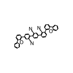 N#Cc1cc(-c2cccc(-c3cccc4c3oc3ccccc34)c2C#N)ccc1-c1ccc(-c2cccc3c2oc2ccccc23)cc1C#N